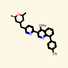 COc1c(-c2ccc(CC3CC(C)O[C@H](C)C3)cn2)cnc2c(-c3ccc(C#N)cc3)cccc12